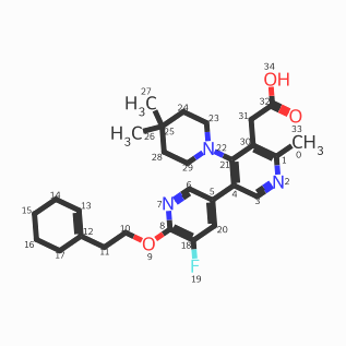 Cc1ncc(-c2cnc(OCCC3=CCCCC3)c(F)c2)c(N2CCC(C)(C)CC2)c1CC(=O)O